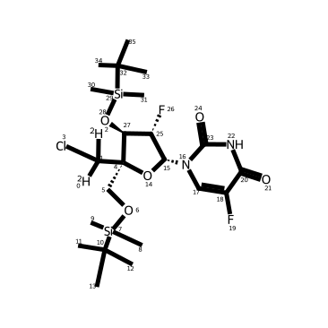 [2H]C([2H])(Cl)[C@]1(CO[Si](C)(C)C(C)(C)C)O[C@@H](n2cc(F)c(=O)[nH]c2=O)[C@@H](F)[C@@H]1O[Si](C)(C)C(C)(C)C